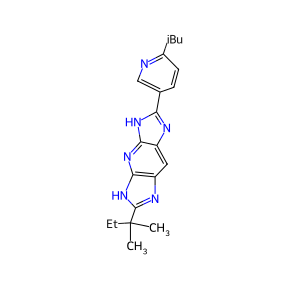 CCC(C)c1ccc(-c2nc3cc4nc(C(C)(C)CC)[nH]c4nc3[nH]2)cn1